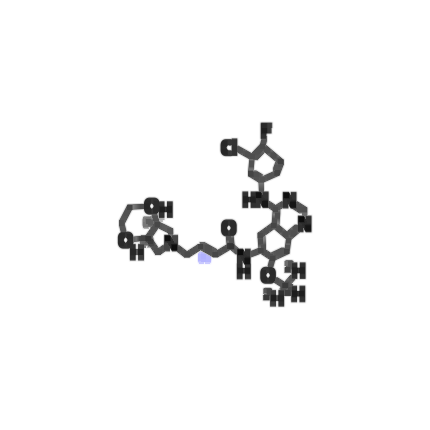 [2H]C([2H])([2H])Oc1cc2ncnc(Nc3ccc(F)c(Cl)c3)c2cc1NC(=O)/C=C/CN1C[C@@H]2OCCO[C@@H]2C1